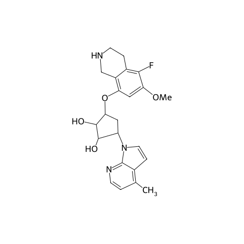 COc1cc(OC2CC(n3ccc4c(C)ccnc43)C(O)C2O)c2c(c1F)CCNC2